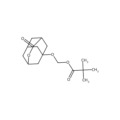 CC(C)(C)C(=O)OCOC12CC3CC(C1)OC(=O)C(C3)C2